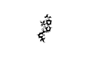 CC(C)N(C)[C@@H]1CC[C@H](N2CC[C@H](NC(=O)c3cccc(C(C)(C)C)n3)C2=O)[C@@H](CS(C)(=O)=O)C1